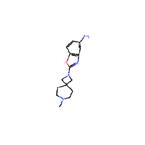 CN1CCC2(CC1)CN(c1nc3cc(N)ccc3o1)C2